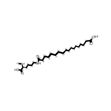 O=C(O)CCCCCCCCCCCCCCCCC(=O)NCCCC[C@H](NI)C(=O)O